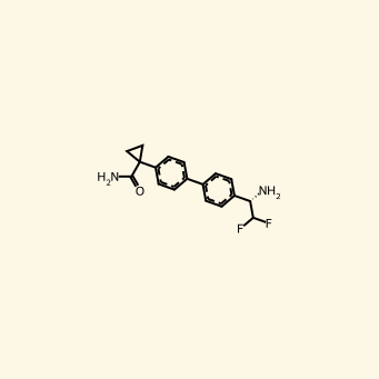 NC(=O)C1(c2ccc(-c3ccc([C@H](N)C(F)F)cc3)cc2)CC1